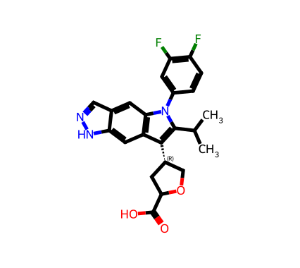 CC(C)c1c([C@@H]2COC(C(=O)O)C2)c2cc3[nH]ncc3cc2n1-c1ccc(F)c(F)c1